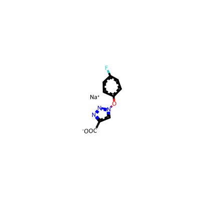 O=C([O-])c1cn(Oc2ccc(F)cc2)nn1.[Na+]